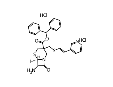 Cl.Cl.NC1C(=O)N2CC(CSC=Cc3cccnc3)(C(=O)OC(c3ccccc3)c3ccccc3)CS[C@H]12